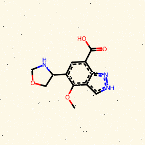 COc1c(C2COCN2)cc(C(=O)O)c2n[nH]cc12